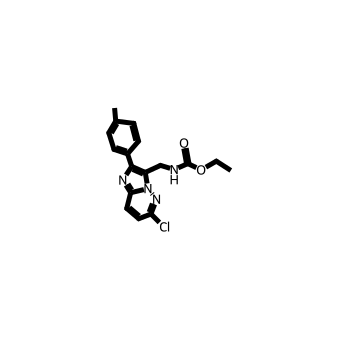 CCOC(=O)NCc1c(-c2ccc(C)cc2)nc2ccc(Cl)nn12